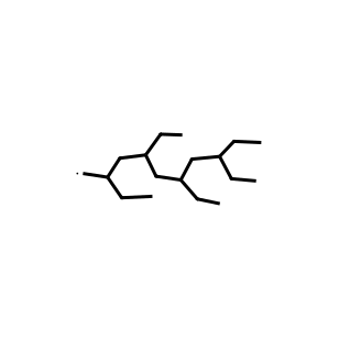 [CH2]C(CC)CC(CC)CC(CC)CC(CC)CC